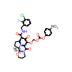 O=C(OCOc1c2n3c(c(C(=O)NCc4cccc(Cl)c4F)c1=O)CC[C@@H]3[C@@H]1OCCCN1C2=O)Oc1ccc([N+](=O)[O-])cc1